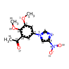 COc1cc(-n2cnc([N+](=O)[O-])c2)cc(C(C)=O)c1OC